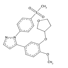 COc1ccc(-c2ccnn2-c2ccc(S(C)(=O)=O)cc2)cc1OC1CCOC1